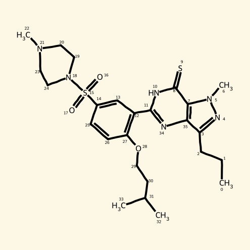 CCCc1nn(C)c2c(=S)[nH]c(-c3cc(S(=O)(=O)N4CCN(C)CC4)ccc3OCCC(C)C)nc12